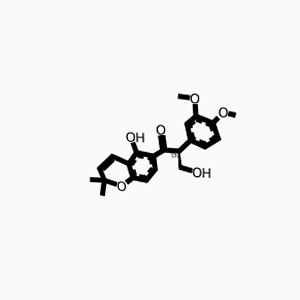 COc1ccc([C@@H](CO)C(=O)c2ccc3c(c2O)C=CC(C)(C)O3)cc1OC